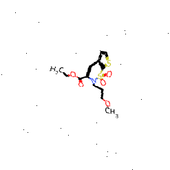 CCOC(=O)C1=Cc2ccsc2S(=O)(=O)N1CCCOC